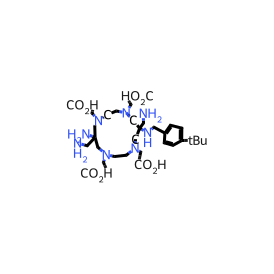 CC(C)(C)c1ccc(CNC2(CN)CN(CC(=O)O)CCN(CC(=O)O)CC(N)(CN)CN(CC(=O)O)CCN(CC(=O)O)C2)cc1